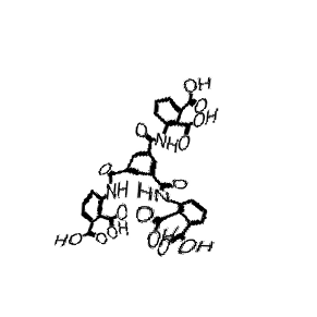 O=C(Nc1cccc(C(=O)O)c1C(=O)O)c1cc(C(=O)Nc2cccc(C(=O)O)c2C(=O)O)cc(C(=O)Nc2cccc(C(=O)O)c2C(=O)O)c1